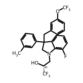 Cc1cccc(C2(Cc3cccc(OC(F)(F)F)c3)CN(C[C@@H](O)C(F)(F)F)c3c(F)cccc32)c1